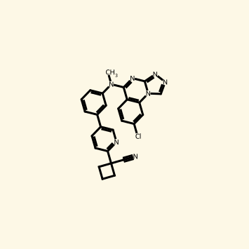 CN(c1cccc(-c2ccc(C3(C#N)CCC3)nc2)c1)c1nc2nncn2c2cc(Cl)ccc12